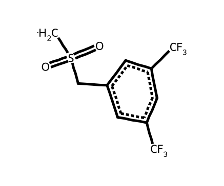 [CH2]S(=O)(=O)Cc1cc(C(F)(F)F)cc(C(F)(F)F)c1